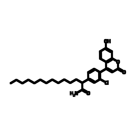 CCCCCCCCCCCCC(C(N)=O)c1ccc(-c2cc(=O)oc3cc(O)ccc23)c(Cl)c1